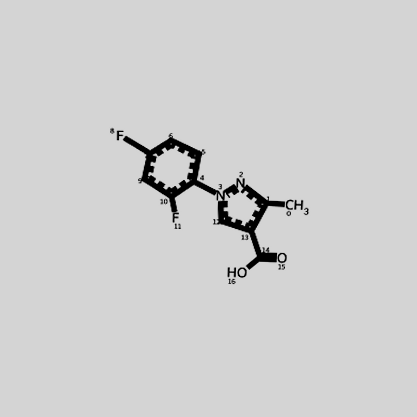 Cc1nn(-c2ccc(F)cc2F)cc1C(=O)O